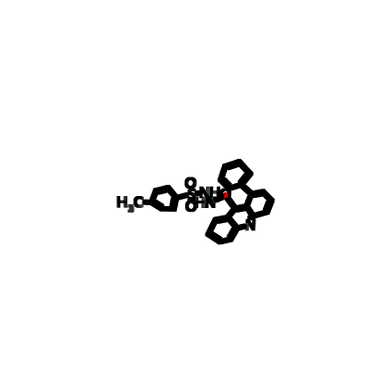 Cc1ccc(S(=O)(=O)NNC(=O)c2c3ccccc3nc3cccc(-c4ccccc4)c23)cc1